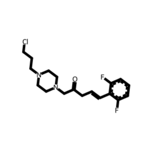 O=C(CC=Cc1c(F)cccc1F)CN1CCN(CCCCl)CC1